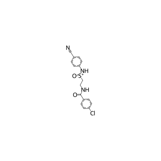 N#Cc1ccc(N[S+]([O-])CCNC(=O)c2ccc(Cl)cc2)cc1